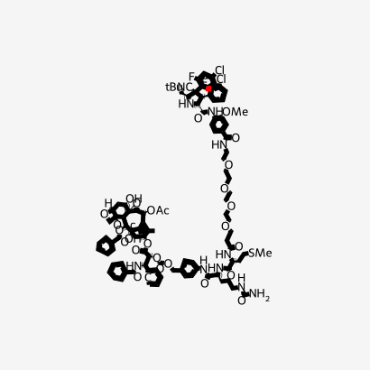 COc1cc(C(=O)NCCOCCOCCOCCOCCC(=O)N[C@@H](CCSC)C(=O)N[C@@H](CCCNC(N)=O)C(=O)Nc2ccc(COC(=O)O[C@@H](C(=O)O[C@H]3C[C@@]4(O)[C@@H](OC(=O)c5ccccc5)C5[C@](C)(C(=O)[C@H](OC(C)=O)C(=C3C)C4(C)C)[C@@H](O)C[C@H]3OC[C@@]53OC(C)=O)[C@@H](NC(=O)c3ccccc3)c3ccccc3)cc2)ccc1NC(=O)[C@@H]1N[C@@H](CC(C)(C)C)[C@](C#N)(c2ccc(Cl)cc2F)[C@H]1c1cccc(Cl)c1F